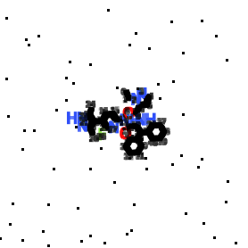 CCn1nccc1C(=O)N[C@H](C(=O)Nc1ccc(-c2c(C)n[nH]c2C)c(F)n1)C(C1CCCCC1)C1CCCCC1